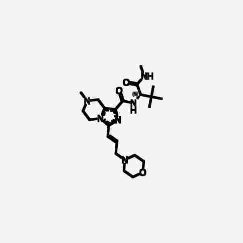 CNC(=O)[C@@H](NC(=O)c1nc(C=CCN2CCOCC2)n2c1CN(C)CC2)C(C)(C)C